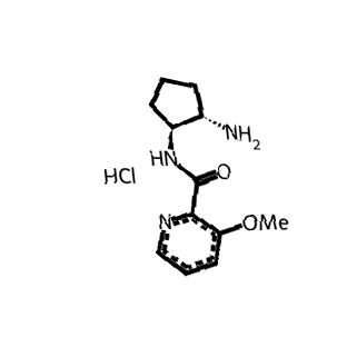 COc1cccnc1C(=O)N[C@H]1CCC[C@@H]1N.Cl